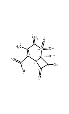 C=C1C(C)=C(C(=O)O)N2C(=O)[C@H](Cl)[C@@H]2S1(=O)=O